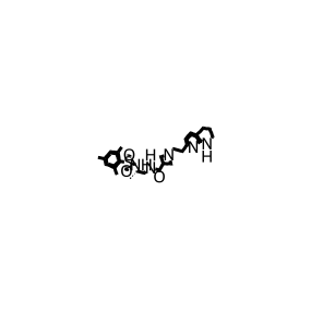 Cc1cc(C)c(S(=O)(=O)N[C@@H](C)CNC(=O)C2CN(CCc3ccc4c(n3)NCCC4)C2)c(C)c1